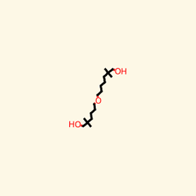 CC(C)(CO)CCCCCOCCCCC(C)(C)CO